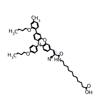 CCCCOc1ccc(N2c3ccc(/C=C(\C#N)C(=O)NCCCCCCCCCCC(=O)O)cc3Oc3cc(-c4ccc(C)cc4OCCCC)ccc32)cc1